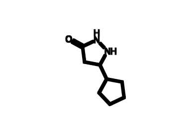 O=C1CC(C2CCCC2)NN1